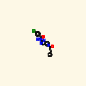 O=C(NC1N=CC2=CN(C(=O)CCC3CCCC3)CCC2=N1)c1ccc(Cl)cc1